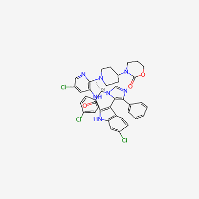 C[C@@H](c1ccc(Cl)cc1)n1cnc(-c2ccccc2)c1-c1c(C(=O)Nc2cc(Cl)cnc2N2CCC(N3CCCOC3=O)CC2)[nH]c2cc(Cl)ccc12